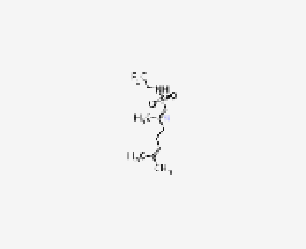 CC(C)=CCC/C(C)=C/S(=O)(=O)NCC(F)(F)F